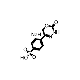 O=C1NN=C(c2ccc(S(=O)(=O)O)cc2)CO1.[NaH]